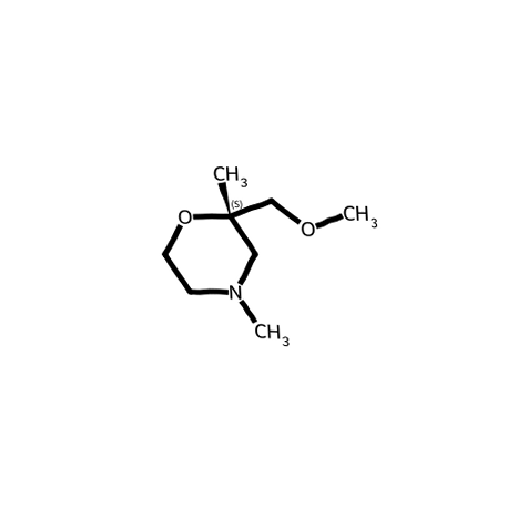 COC[C@]1(C)CN(C)CCO1